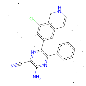 N#Cc1nc(-c2cc(Cl)c3c(c2)C=CNC3)c(-c2ccccc2)nc1N